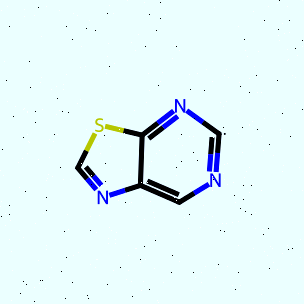 [c]1ncc2ncsc2n1